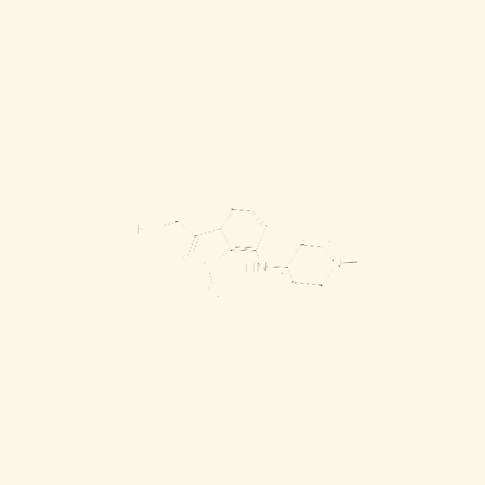 CN1CCC(Nc2cccc3c(CC(F)(F)F)c[s+]([O-])c23)CC1